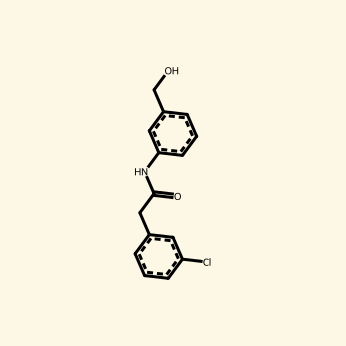 O=C(Cc1cccc(Cl)c1)Nc1cccc(CO)c1